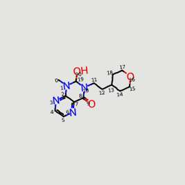 CN1c2nccnc2C(=O)N(CCC2CCOCC2)C1O